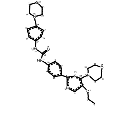 CCOc1cnc(-c2ccc(NC(=O)Nc3ccc(N4CCSCC4)cc3)cc2)nc1N1CCOCC1